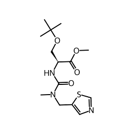 COC(=O)[C@H](COC(C)(C)C)NC(=O)N(C)Cc1cncs1